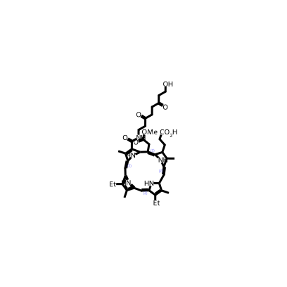 CCC1=C(C)C2/C=C3\N/C(=C(/CC(=O)OC)C4N/C(=C\c5[nH]c(c(C)c5CC)/C=C/1N2)C(C)=C4C(=O)NCCC(=O)CCC(=O)CCO)C(CCC(=O)O)C3C